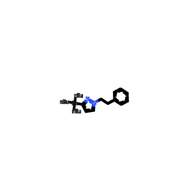 CCC[CH2][Sn]([CH2]CCC)([CH2]CCC)[c]1ccn(CCc2ccccc2)n1